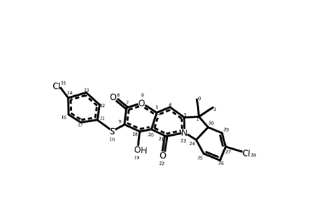 CC1(C)c2cc3oc(=O)c(Sc4ccc(Cl)cc4)c(O)c3c(=O)n2C2C=CC(Cl)=CC21